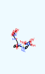 O=C(O)CC[C@H](NC(=O)N[C@@H](CCCCNC(=O)CCCCCCC(=O)NC(CCCCNC(=S)Nc1ccc(CC2CN(CC(=O)O)CCN(CC(=O)O)CCN2CC(=O)O)cc1)C(=O)OCc1ccccc1)C(=O)O)C(=O)O